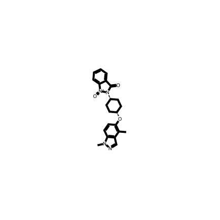 Cc1c(O[C@H]2CC[C@@H](N3C(=O)c4ccccc4[N+]3=O)CC2)ccc2c1cnn2C